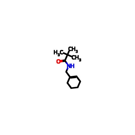 CC(C)(C)C(=O)NCC1=CCCCC1